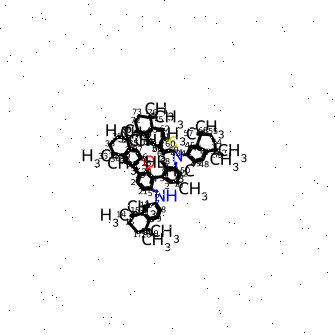 Cc1cc(-c2c(Nc3ccc4c(c3)C(C)(C)CCC4(C)C)ccc3c2oc2cc4c(cc23)C(C)(C)CCC4(C)C)c2c(c1)N(c1cc3c(cc1C)C(C)(C)CCC3(C)C)c1sc3cc4c(cc3c1B2)C(C)(C)CCC4(C)C